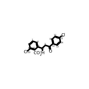 O=C(CC(C(=O)O)c1cccc(Cl)c1)c1ccc(Cl)cc1